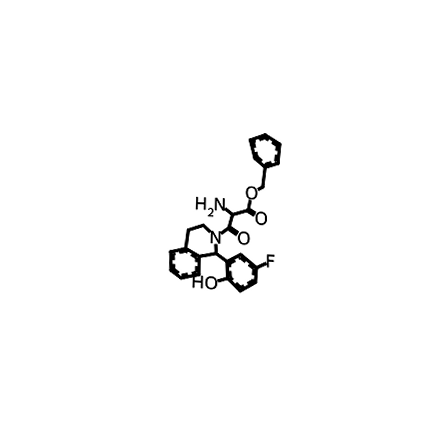 NC(C(=O)OCc1ccccc1)C(=O)N1CCc2ccccc2C1c1cc(F)ccc1O